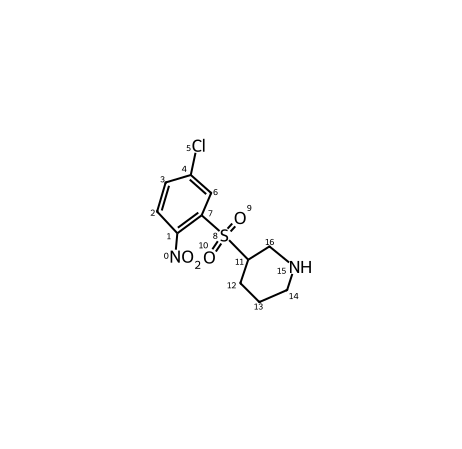 O=[N+]([O-])c1ccc(Cl)cc1S(=O)(=O)C1CCCNC1